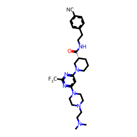 CN(C)CCN1CCN(c2cc(N3CCC[C@@H](C(=O)NCCc4ccc(C#N)cc4)C3)nc(C(F)(F)F)n2)CC1